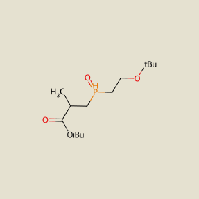 CC(C)COC(=O)C(C)C[PH](=O)CCOC(C)(C)C